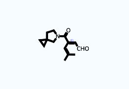 CC(C)=C/C(=C\C=O)C(=O)N1CCC2(CC2)C1